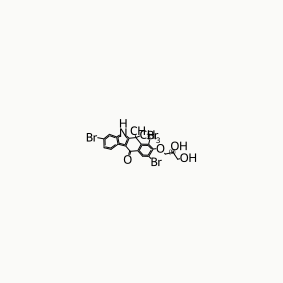 CC1(C)c2[nH]c3cc(Br)ccc3c2C(=O)c2cc(Br)c(OC[C@@H](O)CO)c(Br)c21